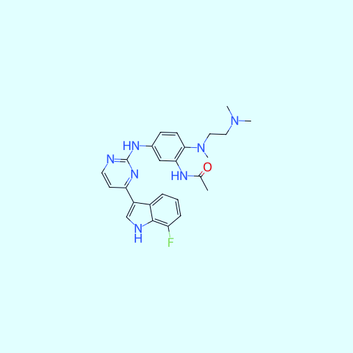 CC(=O)Nc1cc(Nc2nccc(-c3c[nH]c4c(F)cccc34)n2)ccc1N(C)CCN(C)C